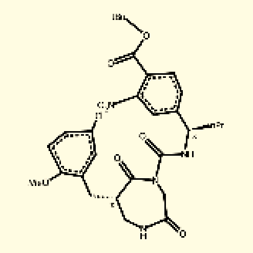 CCC[C@@H](NC(=O)N1CC(=O)NC[C@H](Cc2cc(Cl)ccc2OC)C1=O)c1ccc(C(=O)OC(C)(C)C)c([N+](=O)[O-])c1